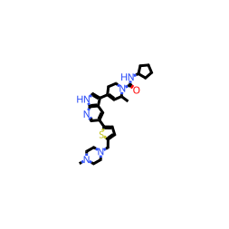 CC1C=C(c2c[nH]c3ncc(-c4ccc(CN5CCN(C)CC5)s4)cc23)CCN1C(=O)NC1CCCC1